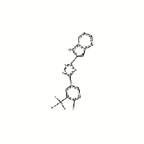 FC(F)(F)c1cc(-c2nnc(-c3cc4ccccc4[nH]3)o2)ccc1Cl